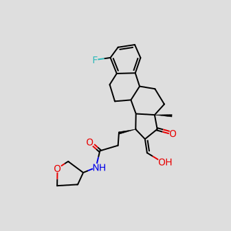 C[C@]12CCC3c4cccc(F)c4CCC3C1[C@H](CCC(=O)NC1CCOC1)/C(=C/O)C2=O